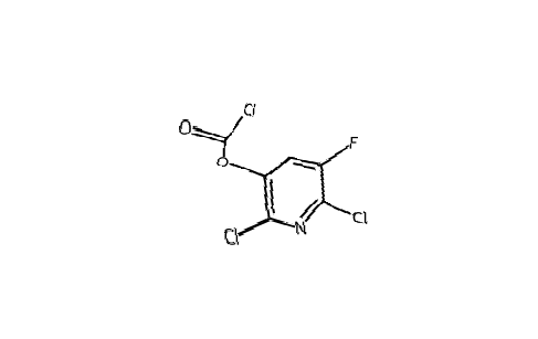 O=C(Cl)Oc1cc(F)c(Cl)nc1Cl